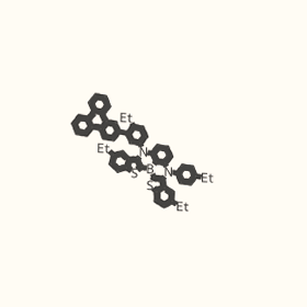 CCc1ccc(N2c3cccc4c3B(c3sc5ccc(CC)cc5c32)c2sc3ccc(CC)cc3c2N4c2ccc(CC)c(-c3ccc4c5ccccc5c5ccccc5c4c3)c2)cc1